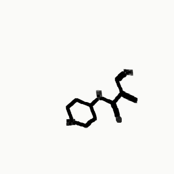 C=C(C=N)C(=O)NC1CCNCC1